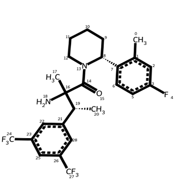 Cc1cc(F)ccc1[C@H]1CCCCN1C(=O)C(C)(N)[C@H](C)c1cc(C(F)(F)F)cc(C(F)(F)F)c1